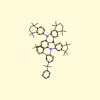 CC(C)(C)c1cc2c3c(c1)N(c1ccc(C(C)(C)c4ccccc4)cc1-c1ccccc1)c1cc4c(cc1B3c1cc3c(cc1N2c1ccc2c(c1)C(C)(C)CCC2(C)C)C(C)(C)CCC3(C)C)C(C)(C)CC4(C)C